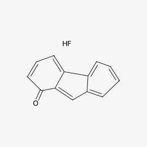 F.O=C1C=CC=C2C1=Cc1ccccc12